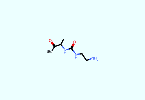 CC(NC(=O)NCCN)C(=O)C(C)(C)C